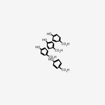 O=C(O)c1ccc(O)cc1.O=C(O)c1ccc(O)cc1.O=C(O)c1ccc(O)cc1.O=C(O)c1ccc(O)cc1